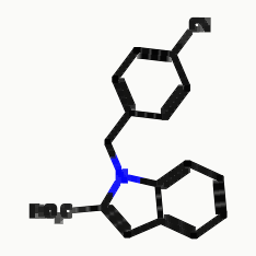 CCOC(=O)c1cc2ccccc2n1Cc1ccc(C#N)cc1